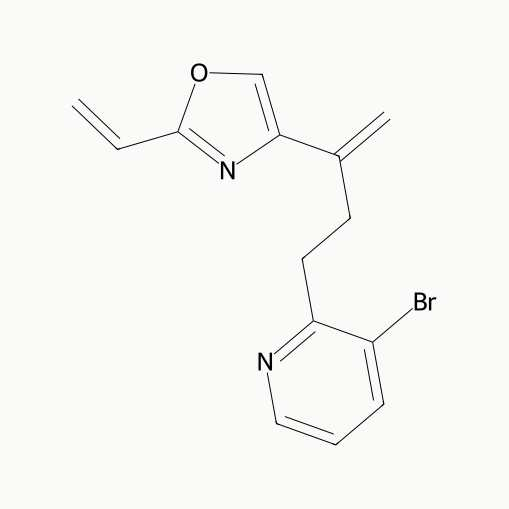 C=Cc1nc(C(=C)CCc2ncccc2Br)co1